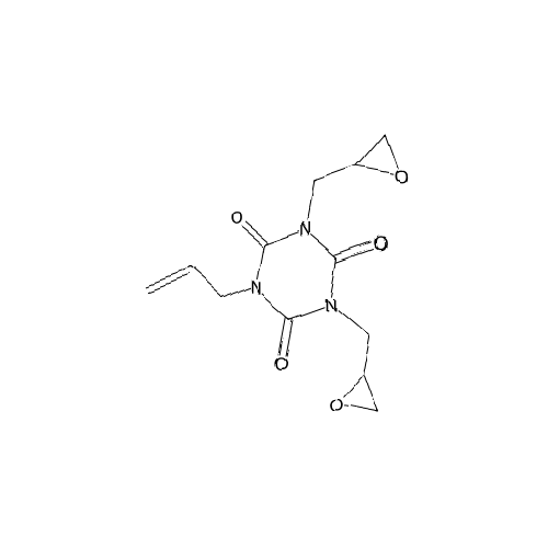 C=CCn1c(=O)n(CC2CO2)c(=O)n(CC2CO2)c1=O